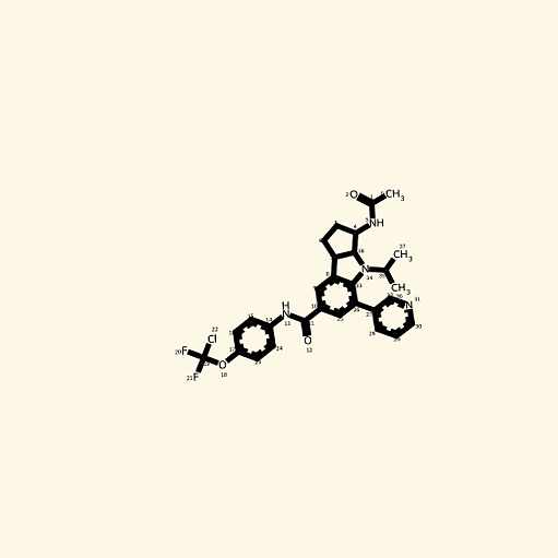 CC(=O)NC1CCC2c3cc(C(=O)Nc4ccc(OC(F)(F)Cl)cc4)cc(-c4cccnc4)c3N(C(C)C)C12